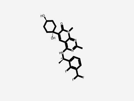 Cc1nc(N[C@H](C)c2cccc(C(F)F)c2F)c2cc([C@]3(O)CC[C@H](O)CC3)c(=O)n(C)c2n1